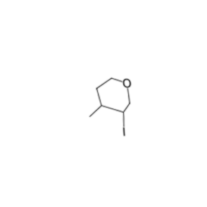 CC1CCOCC1I